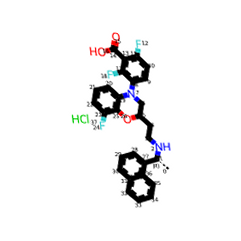 C[C@@H](NCCC1CN(c2ccc(F)c(C(=O)O)c2F)c2cccc(F)c2O1)c1cccc2ccccc12.Cl